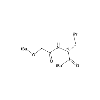 CC(C)C[C@@H](NC(=O)COC(C)(C)C)C(=O)C(C)(C)C